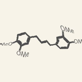 COc1ccc(C/C=C/Cc2ccc(OC)c(OC)c2)cc1OC